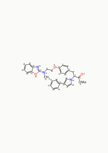 COC(=O)C(Cc1ccc(OCCN(C)c2nc3ccccc3o2)cc1)n1ccc(-c2ccccc2)c1